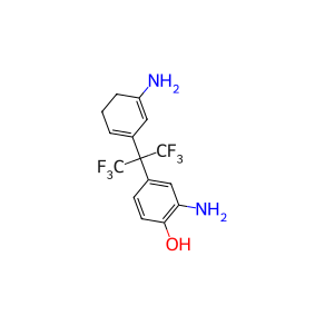 NC1=CC(C(c2ccc(O)c(N)c2)(C(F)(F)F)C(F)(F)F)=CCC1